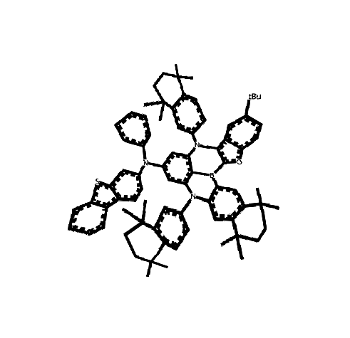 CC(C)(C)c1ccc2oc3c(c2c1)N(c1ccc2c(c1)C(C)(C)CCC2(C)C)c1cc(N(c2ccccc2)c2ccc4c(c2)sc2ccccc24)cc2c1B3c1cc3c(cc1N2c1ccc2c(c1)C(C)(C)CCC2(C)C)C(C)(C)CCC3(C)C